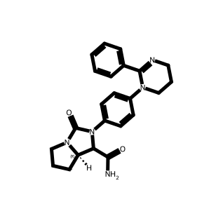 NC(=O)C1[C@H]2[CH]CCN2C(=O)N1c1ccc(N2CCCN=C2c2ccccc2)cc1